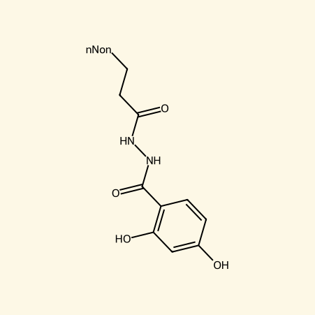 CCCCCCCCCCCC(=O)NNC(=O)c1ccc(O)cc1O